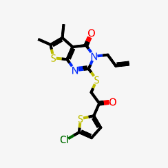 C=CCn1c(SCC(=O)c2ccc(Cl)s2)nc2sc(C)c(C)c2c1=O